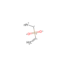 [CH2]CCCS(=O)(=O)C=C